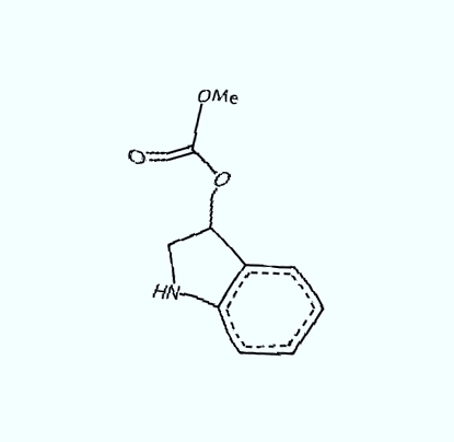 COC(=O)OC1CNc2ccccc21